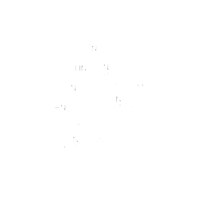 C=CC(=O)N1CCC[C@H](Nc2cc(CN3CCOCC3)cc(Nc3ncccn3)n2)C1